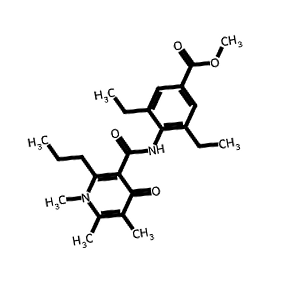 CCCc1c(C(=O)Nc2c(CC)cc(C(=O)OC)cc2CC)c(=O)c(C)c(C)n1C